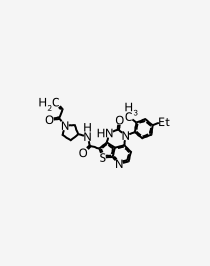 C=CC(=O)N1CCC(NC(=O)c2sc3nccc4c3c2NC(=O)N4c2ccc(CC)cc2C)C1